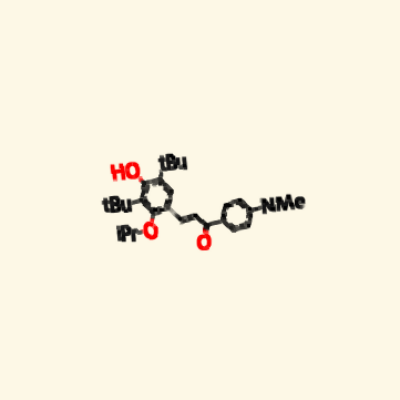 CNc1ccc(C(=O)/C=C/c2cc(C(C)(C)C)c(O)c(C(C)(C)C)c2OC(C)C)cc1